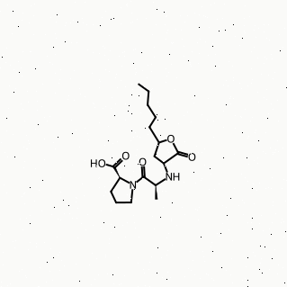 CCCCCC1CC(N[C@@H](C)C(=O)N2CCC[C@H]2C(=O)O)C(=O)O1